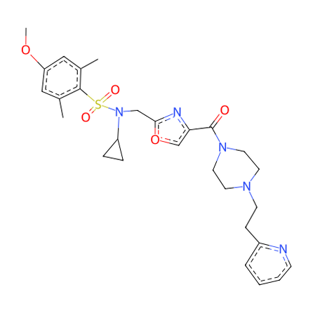 COc1cc(C)c(S(=O)(=O)N(Cc2nc(C(=O)N3CCN(CCc4ccccn4)CC3)co2)C2CC2)c(C)c1